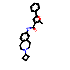 Cc1oc(-c2ccccc2)cc1C(=O)Nc1ccc2c(c1)CCN(C1CCC1)CC2